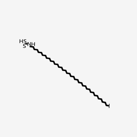 S=C(S)NCCCCCCCCCCCCCCCCCCCCCCCCCCCCCCCCCCCCCCCI